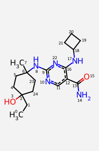 CCC1(O)CCC(C)(Nc2ncc(C(N)=O)c(NC3CCC3)n2)CC1